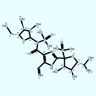 N=Cc1[nH]c(C2(P(=O)(O)O)O[C@H](C(N)O)[C@@H](O)[C@H]2O)nc1C(=O)N(C1O[C@H](CO)[C@@H](O)[C@H]1O)P(=O)(O)O